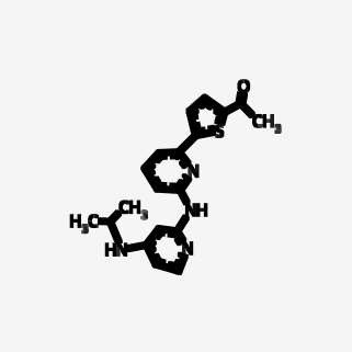 CC(=O)c1ccc(-c2cccc(Nc3cc(NC(C)C)ccn3)n2)s1